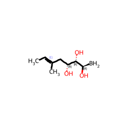 B[C@@H](O)[C@@H](O)[C@H](O)C/C(C)=C/C